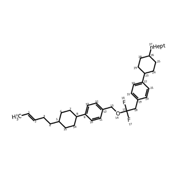 CC=CCCC1CCC(c2ccc(COC(F)(F)Cc3ccc(C4CCC(CCCCCCC)CC4)cc3)cc2)CC1